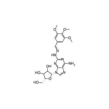 COc1cc(/C=N/Nc2nc(N)c3ncn([C@@H]4O[C@H](CO)C(O)C4O)c3n2)cc(OC)c1OC